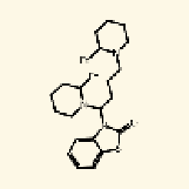 CCC1CCCCN1CCCC(N1CCCCC1CC)n1c(=O)sc2ccccc21